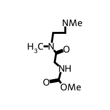 CNCCN(C)C(=O)CNC(=O)OC